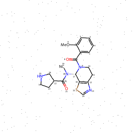 COc1ccccc1C(=O)N1CCc2ncsc2[C@@H]1N(C#N)C(=O)C1CCNC1